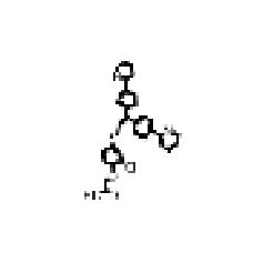 O=C(O)COc1ccc(SCC=C(c2ccc(-c3ccccn3)cc2)c2ccc(-c3ccccn3)cc2)cc1Cl